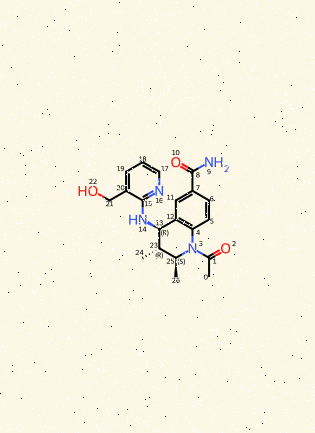 CC(=O)N1c2ccc(C(N)=O)cc2[C@H](Nc2ncccc2CO)[C@@H](C)[C@@H]1C